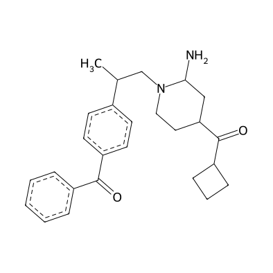 CC(CN1CCC(C(=O)C2CCC2)CC1N)c1ccc(C(=O)c2ccccc2)cc1